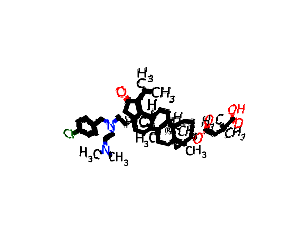 CC(C)C1=C2[C@H]3CC[C@@H]4[C@@]5(C)CC[C@H](OC(=O)CC(C)(C)C(=O)O)C6(C)C[C@]65CC[C@@]4(C)[C@]3(C)CC[C@@]2(CCN(CCN(C)C)Cc2ccc(Cl)cc2)CC1=O